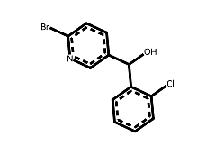 OC(c1ccc(Br)nc1)c1ccccc1Cl